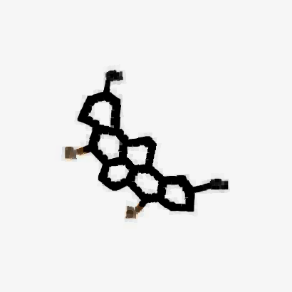 CC(C)(C)c1ccc2c(Br)c3ccc4c(Br)c5ccc(C(C)(C)C)cc5c5ccc(c2c1)c3c45